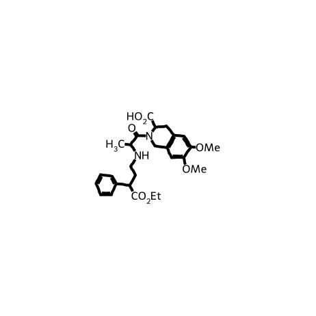 CCOC(=O)C(CCNC(C)C(=O)N1Cc2cc(OC)c(OC)cc2CC1C(=O)O)c1ccccc1